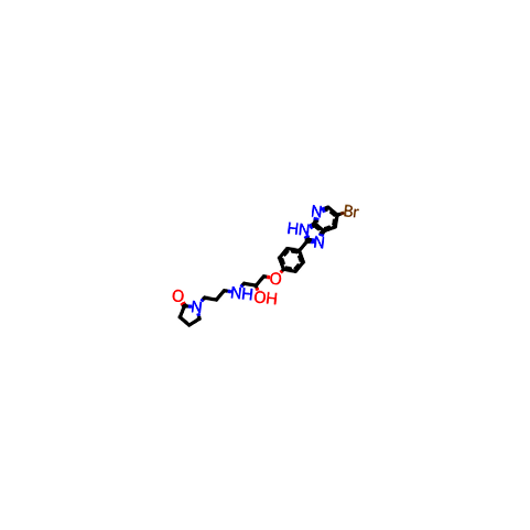 O=C1CCCN1CCCNCC(O)COc1ccc(-c2nc3cc(Br)cnc3[nH]2)cc1